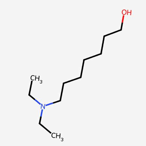 CCN(CC)CCCCCCCO